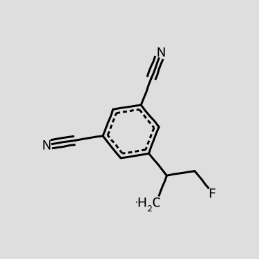 [CH2]C(CF)c1cc(C#N)cc(C#N)c1